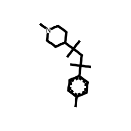 Cc1ccc(C(C)(C)CC(C)(C)C2CCN(C)CC2)cc1